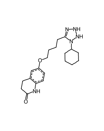 O=C1CCc2cc(OCCCCC3=NNNN3C3CCCCC3)ccc2N1